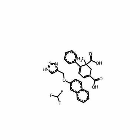 CC1(C(=O)O)CC(C(=O)O)=CC=C1c1ccccc1.FC(F)F.c1ccc2cc(OCc3c[nH]nn3)ccc2c1